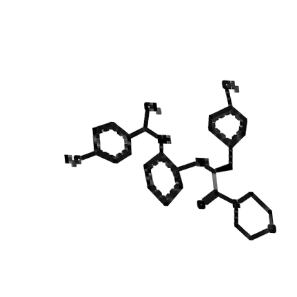 Cc1ccc(C[C@H](Nc2ccccc2NC(C)c2ccc(C)cc2)C(=O)N2CCOCC2)cc1